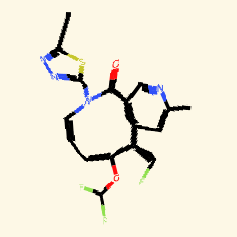 Cc1cc2c(cn1)C(=O)N(c1nnc(C)s1)/C=C\C=C(\OC(F)F)C2=CF